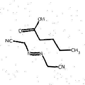 CCCCC(=O)O.N#CCN=NCC#N